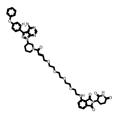 Nc1ncnc2c1c(-c1ccc(Oc3ccccc3)cc1)nn2C1CCCN(C(=O)/C=C/COCCOCCOCCOCCNc2cccc3c2C(=O)N(C2CCC(=O)NC2=O)C3=O)C1